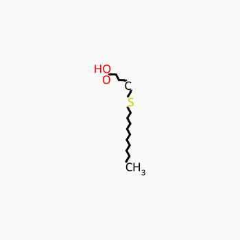 CCCCCCCCCCCCSCC=C=CCCC(=O)O